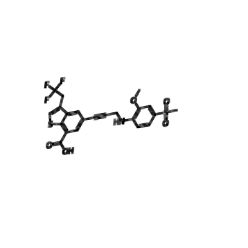 COc1cc(S(C)(=O)=O)ccc1NCC#Cc1cc(C(=O)O)c2scc(CC(F)(F)F)c2c1